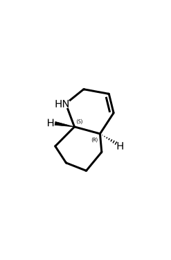 C1=C[C@H]2CCCC[C@@H]2NC1